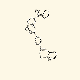 O=C(Cn1cc([S+]([O-])N2CCCC2)ccc1=O)c1ccc(-c2ccc3ncccc3c2)cc1